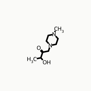 CC(O)C(=O)CN1CCN(C)CC1